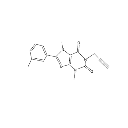 C#CCn1c(=O)c2c(nc(-c3cccc(C)c3)n2C)n(C)c1=O